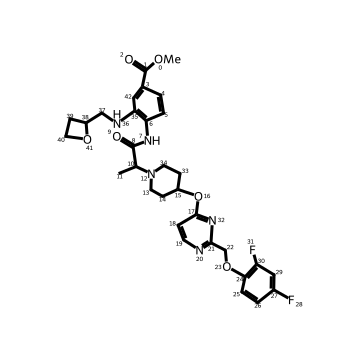 COC(=O)c1ccc(NC(=O)C(C)N2CCC(Oc3ccnc(COc4ccc(F)cc4F)n3)CC2)c(NCC2CCO2)c1